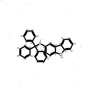 c1ccc(C(Sc2ccc3oc4ccccc4c3c2)(c2ccccc2)c2ccccc2)cc1